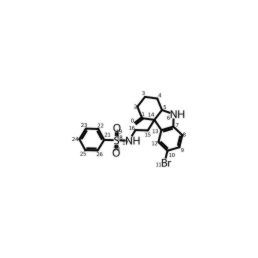 C=C1CCCC2Nc3ccc(Br)cc3C12CCNS(=O)(=O)c1ccccc1